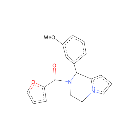 COc1cccc(C2c3cccn3CCN2C(=O)c2ccco2)c1